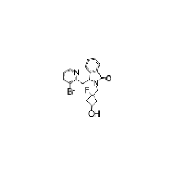 O=C1c2ccccc2C(Cc2ncccc2Br)N1CC1(F)CC(O)C1